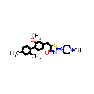 COc1cc(C=C2SC(N3CCN(C)CC3)=NC2=O)ccc1-c1ccc(C)cc1C